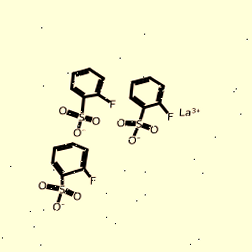 O=S(=O)([O-])c1ccccc1F.O=S(=O)([O-])c1ccccc1F.O=S(=O)([O-])c1ccccc1F.[La+3]